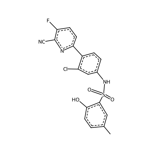 Cc1ccc(O)c(S(=O)(=O)Nc2ccc(-c3ccc(F)c(C#N)n3)c(Cl)c2)c1